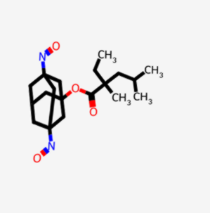 CCC(C)(CC(C)C)C(=O)OC12CC3CC(N=O)(CC(N=O)(C3)C1)C2